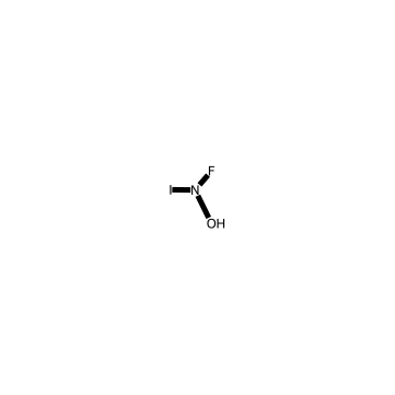 ON(F)I